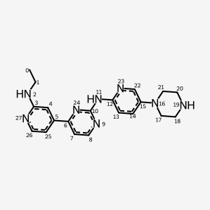 CCNc1cc(-c2ccnc(Nc3ccc(N4CCNCC4)cn3)n2)ccn1